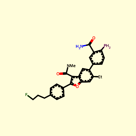 CCc1cc2oc(-c3ccc(CCCF)cc3)c(C(=O)NC)c2cc1-c1ccc(P)c(C(N)=O)c1